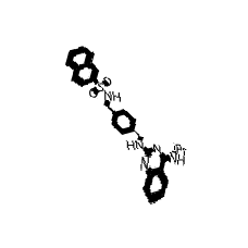 CC(C)Nc1nc(NC[C@H]2CC[C@H](CNS(=O)(=O)c3ccc4ccccc4c3)CC2)nc2ccccc12